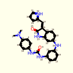 CN(C)c1ccc(NC(=O)Nc2cccc(Nc3ccc4c(c3)NC(=O)/C4=C\c3ccc[nH]3)c2)cc1